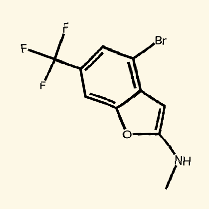 CNc1cc2c(Br)cc(C(F)(F)F)cc2o1